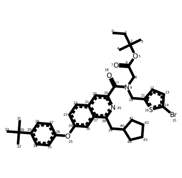 CCC(C)(C)OC(=O)CN(Cc1ccc(Br)s1)C(=O)c1cc2ccc(Oc3ccc(C(C)(C)C)cc3)cc2c(CC2CCCC2)n1